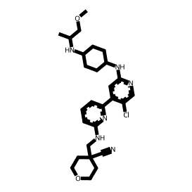 COCC(C)NC1CCC(Nc2cc(-c3cccc(NCC4(C#N)CCOCC4)n3)c(Cl)cn2)CC1